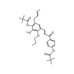 CC=CCc1cc(C=CC(=O)c2ccc(OC(=O)C(C)(C)C)cc2)c(OCCC)c(OC)c1OC(=O)C(C)(C)C